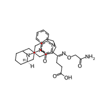 NC(=O)CON=C(CCC(=O)O)c1nc2ccccc2n(C2CC3CCC[C@H](C2)N3C2CC3CCCCC(C3)C2)c1=O